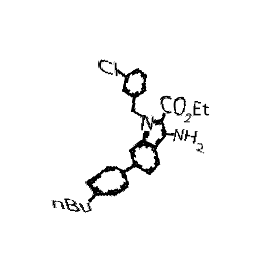 CCCCc1ccc(-c2ccc3c(N)c(C(=O)OCC)n(Cc4cccc(Cl)c4)c3c2)cc1